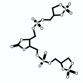 O=C1OC(COS(=O)(=O)OCC2COS(=O)(=O)O2)C(COS(=O)(=O)OCC2COS(=O)(=O)O2)O1